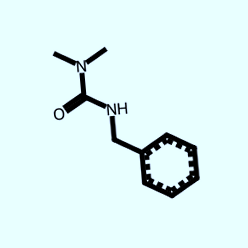 CN(C)C(=O)NCc1ccccc1